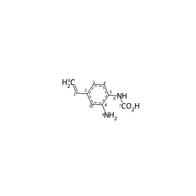 C=Cc1ccc(NC(=O)O)c(N)c1